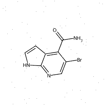 NC(=O)c1c(Br)cnc2[nH]c[c]c12